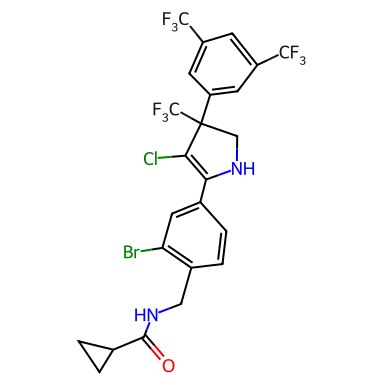 O=C(NCc1ccc(C2=C(Cl)C(c3cc(C(F)(F)F)cc(C(F)(F)F)c3)(C(F)(F)F)CN2)cc1Br)C1CC1